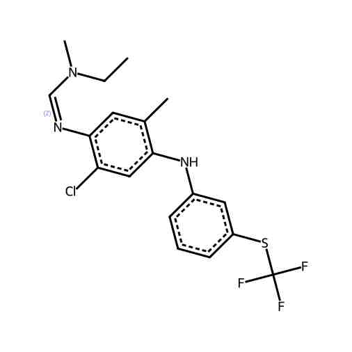 CCN(C)/C=N\c1cc(C)c(Nc2cccc(SC(F)(F)F)c2)cc1Cl